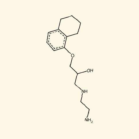 NCCNCC(O)COc1cccc2c1CCCC2